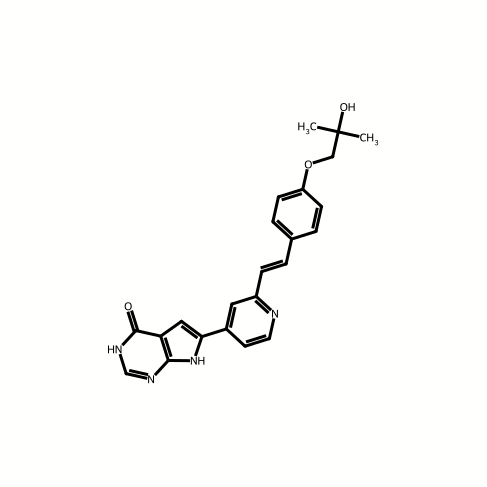 CC(C)(O)COc1ccc(/C=C/c2cc(-c3cc4c(=O)[nH]cnc4[nH]3)ccn2)cc1